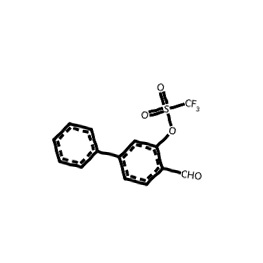 O=Cc1ccc(-c2ccccc2)cc1OS(=O)(=O)C(F)(F)F